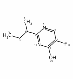 CCC(C)c1ncc(F)c(O)n1